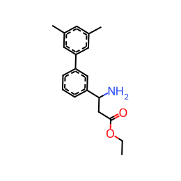 CCOC(=O)CC(N)c1cccc(-c2cc(C)cc(C)c2)c1